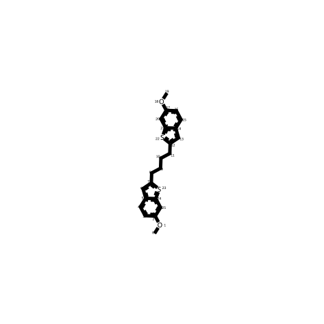 COc1ccc2cc(CCCCc3cc4ccc(OC)cc4s3)sc2c1